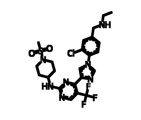 CCNCc1ccc(-n2cnc(-c3nc(NC4CCN(S(C)(=O)=O)CC4)ncc3C(F)(F)F)c2)c(Cl)c1